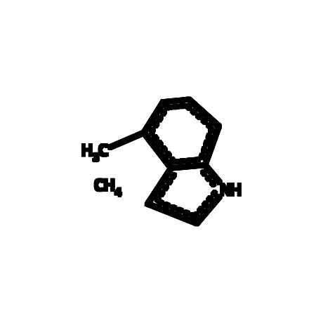 C.Cc1cccc2[nH]ccc12